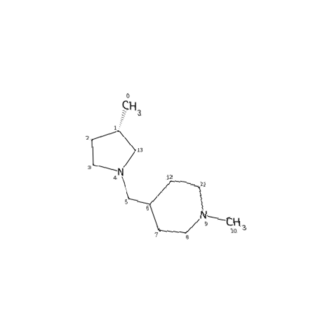 C[C@H]1CCN(CC2CCN(C)CC2)C1